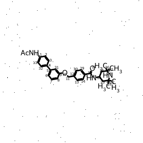 CC(=O)Nc1ccc(-c2cccc(OCc3ccc(C(=O)NC4CC(C)(C)NC(C)(C)C4)cc3)c2)cc1